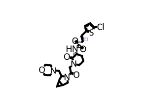 O=C1[C@@H](NS(=O)(=O)/C=C/c2ccc(Cl)s2)CCCN1CC(=O)N1CC2CC2C1CN1CCOCC1